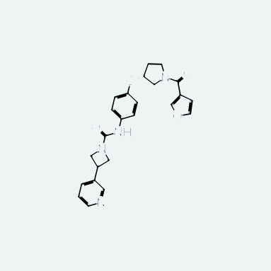 O=C(Nc1ccc(O[C@@H]2CCN(C(=O)c3ccoc3)C2)cc1)N1CC(c2cccnc2)C1